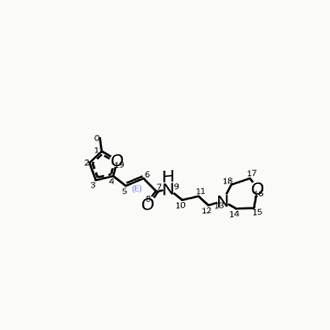 Cc1ccc(/C=C/C(=O)NCCCN2CCOCC2)o1